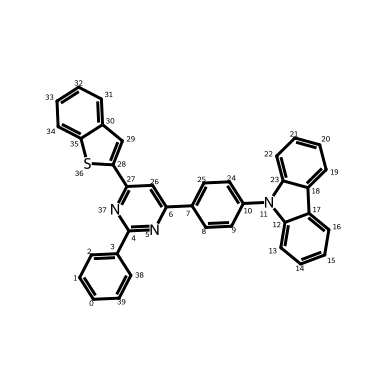 c1ccc(-c2nc(-c3ccc(-n4c5ccccc5c5ccccc54)cc3)cc(-c3cc4ccccc4s3)n2)cc1